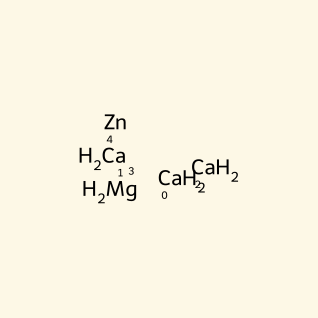 [CaH2].[CaH2].[CaH2].[MgH2].[Zn]